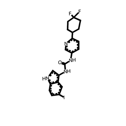 O=C(Nc1ccc(C2CCC(F)(F)CC2)nc1)Nc1c[nH]c2ccc(I)cc12